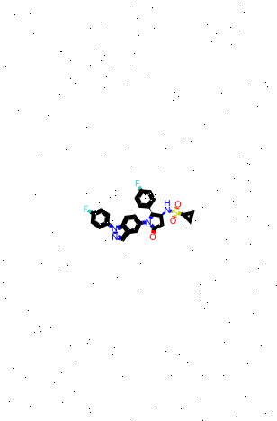 O=C1C[C@H](NS(=O)(=O)C2CC2)[C@@H](c2ccc(F)cc2)N1c1ccc2c(cnn2-c2ccc(F)cc2)c1